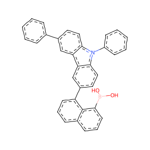 OB(O)c1cccc2cccc(-c3ccc4c(c3)c3cc(-c5ccccc5)ccc3n4-c3ccccc3)c12